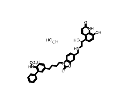 Cl.Cl.O=C(O)Nc1ccc(CCCCn2c(=O)oc3cc(CNC[C@H](O)c4ccc(O)c5[nH]c(=O)ccc45)ccc32)cc1-c1ccccc1